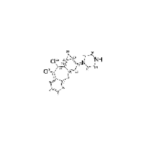 ClC1c2ccccc2Cc2cc(N3CCNCC3)c3c(c2C1Cl)C3